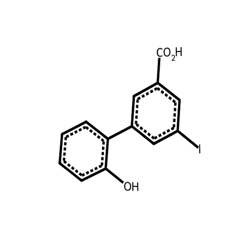 O=C(O)c1cc(I)cc(-c2ccccc2O)c1